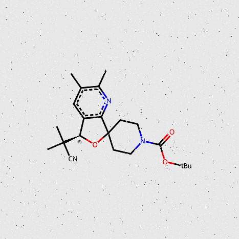 Cc1cc2c(nc1C)C1(CCN(C(=O)OC(C)(C)C)CC1)O[C@H]2C(C)(C)C#N